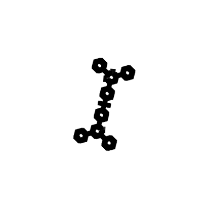 CC(C)(c1ccc(-c2cc(-c3ccccc3)cc(-c3ccccc3)n2)cc1)c1ccc(-c2cc(-c3ccccc3)nc(-c3ccccc3)n2)cc1